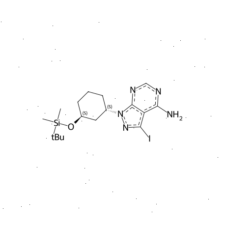 CC(C)(C)[Si](C)(C)O[C@H]1CCC[C@H](n2nc(I)c3c(N)ncnc32)C1